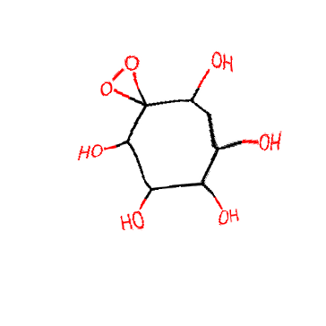 OC1C(O)C(O)C2(OO2)C(O)C1O